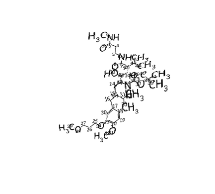 CNC(=O)CCNC(=O)[C@@H](C[C@H](O)[C@H](C[C@H](Cc1ccc(OC)c(OCCCOC)c1)C(C)C)NC(=O)OC(C)(C)C)C(C)C